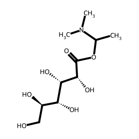 CC(OC(=O)[C@H](O)[C@@H](O)[C@H](O)[C@H](O)CO)N(C)C